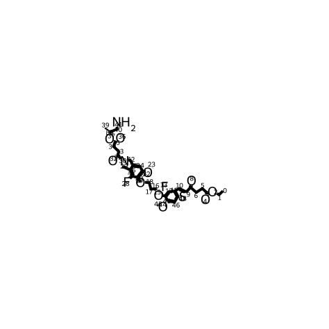 CCOC(=O)CCC(=O)c1cc2c(F)c(OCCCOc3c(OC)cc4c(c3F)CN(C(=O)CCC(=O)O[C@@H](C)CN)C4)c(OC)cc2s1